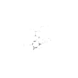 Cc1cn([C@]2(C(C)ON)O[C@H](CO)[C@@H](O)[C@H]2O)c(=O)[nH]c1=O